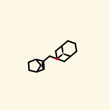 C1=C(CCB2C3CCCC2CCC3)C2CCC1C2